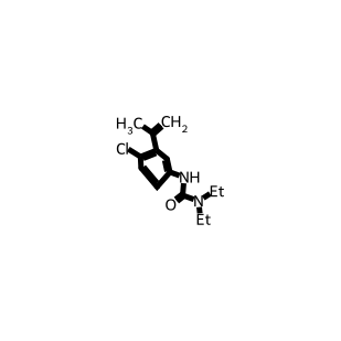 C=C(C)c1cc(NC(=O)N(CC)CC)ccc1Cl